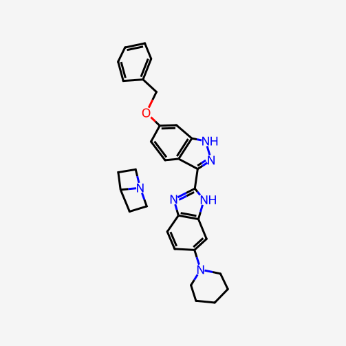 C1CN2CCC12.c1ccc(COc2ccc3c(-c4nc5ccc(N6CCCCC6)cc5[nH]4)n[nH]c3c2)cc1